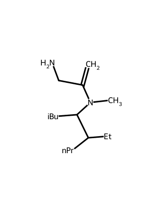 C=C(CN)N(C)C(C(C)CC)C(CC)CCC